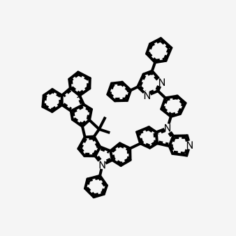 CC1(C)c2cc3c4ccccc4c4ccccc4c3cc2-c2ccc3c(c21)c1cc(-c2ccc4c(c2)c2ccncc2n4-c2cccc(-c4nc(-c5ccccc5)cc(-c5ccccc5)n4)c2)ccc1n3-c1ccccc1